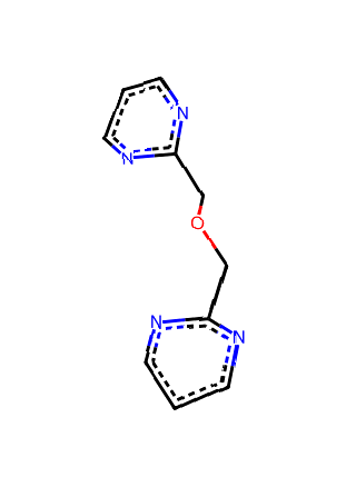 c1cnc(COCc2ncccn2)nc1